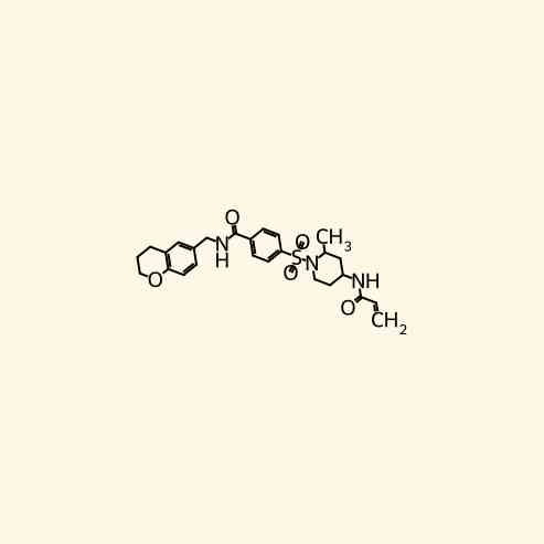 C=CC(=O)NC1CCN(S(=O)(=O)c2ccc(C(=O)NCc3ccc4c(c3)CCCO4)cc2)C(C)C1